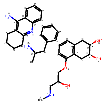 CC(C)(C)NCC(O)COc1cccc2c1C[C@H](O)[C@H](O)C2.CC(N)Cc1ccccc1.Nc1c2c(nc3ccccc13)CCCC2